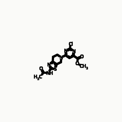 COC(=O)c1cc(N2CCc3nc(NC(C)=O)sc3C2)nc(Cl)n1